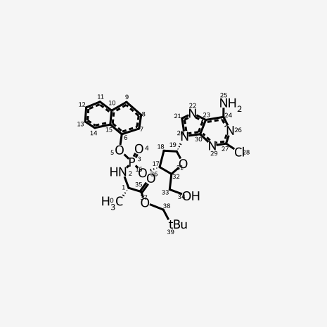 C[C@H](NP(=O)(Oc1cccc2ccccc12)O[C@@H]1C[C@H](n2cnc3c(N)nc(Cl)nc32)OC1CO)C(=O)OCC(C)(C)C